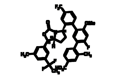 COc1cc(F)c(-c2ccc(C(=O)O)cc2C)cc1-c1ccc(C(F)(F)F)cc1[C@@H]1CC[C@H]2[C@@H](c3cc(C)cc(C(C)(F)F)c3)OC(=O)N12